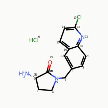 Cl.N[C@H]1CCN(Cc2ccc3nc(Cl)ccc3c2)C1=O